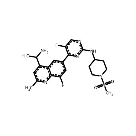 Cc1cc(C(C)N)c2cc(-c3nc(NC4CCN(S(C)(=O)=O)CC4)ncc3F)cc(F)c2n1